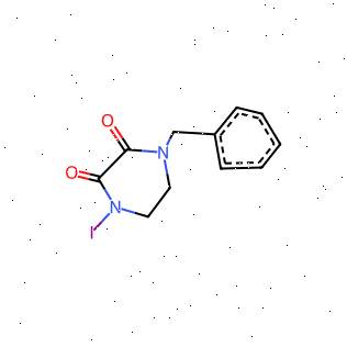 O=C1C(=O)N(Cc2ccccc2)CCN1I